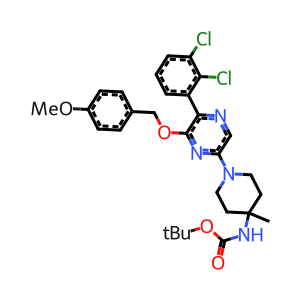 COc1ccc(COc2nc(N3CCC(C)(NC(=O)OC(C)(C)C)CC3)cnc2-c2cccc(Cl)c2Cl)cc1